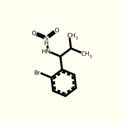 CC(C)C(N[SH](=O)=O)c1ccccc1Br